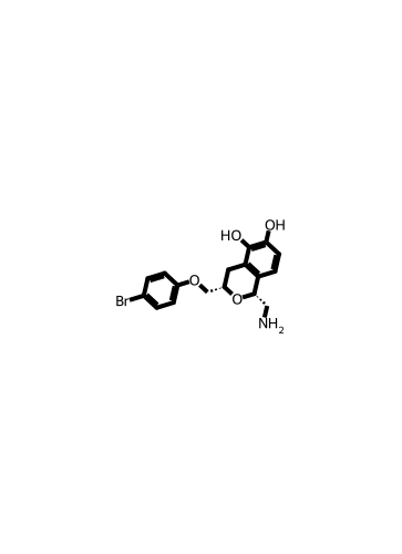 NC[C@@H]1O[C@H](COc2ccc(Br)cc2)Cc2c1ccc(O)c2O